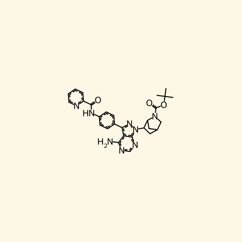 CC(C)(C)OC(=O)N1CC2CC1C(n1nc(-c3ccc(NC(=O)c4ccccn4)cc3)c3c(N)ncnc31)C2